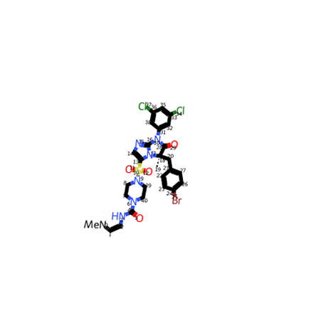 CN/C=C\NC(=O)N1CCN(S(=O)(=O)c2cnc3n2[C@](C)(Cc2ccc(Br)cc2)C(=O)N3c2cc(Cl)cc(Cl)c2)CC1